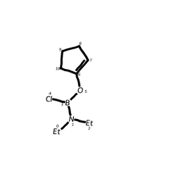 CCN(CC)B(Cl)OC1=CCCC1